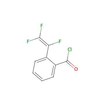 O=C(Cl)c1ccccc1C(F)=C(F)F